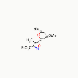 CCOC(=O)c1noc([C@H]2C[C@H](OC)C[C@@H](C(C)(C)C)O2)c1C